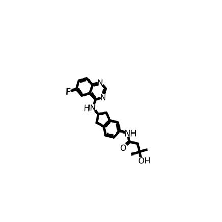 CC(C)(O)CC(=O)Nc1ccc2c(c1)CC(Nc1ncnc3ccc(F)cc13)C2